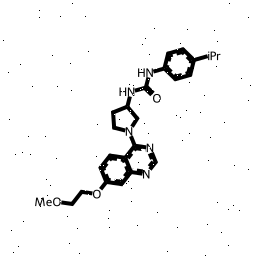 COCCOc1ccc2c(N3CCC(NC(=O)Nc4ccc(C(C)C)cc4)C3)ncnc2c1